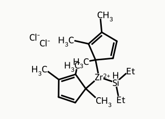 CC[SiH](CC)[Zr+2]([C]1(C)C=CC(C)=C1C)[C]1(C)C=CC(C)=C1C.[Cl-].[Cl-]